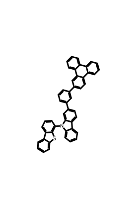 c1cc(-c2ccc3c4ccccc4c4ccccc4c3c2)cc(-c2ccc3c4ccccc4n(-c4cccc5c4sc4ccccc45)c3c2)c1